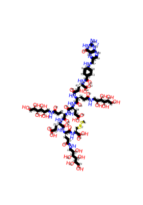 CSSC[C@H](NC(=O)[C@H](CCC(=O)NC[C@H](O)[C@@H](O)[C@H](O)[C@H](O)CO)NC(=O)[C@H](CCC(=O)O)NC(=O)[C@H](CCC(=O)NC[C@H](O)[C@@H](O)[C@H](O)[C@H](O)CO)NC(=O)[C@H](CCC(=O)O)NC(=O)[C@H](CCC(=O)NC[C@H](O)[C@@H](O)[C@H](O)[C@H](O)CO)NC(=O)CC[C@H](NC(=O)c1ccc(NCc2cnc3nc(N)[nH]c(=O)c3n2)cc1)C(=O)O)C(=O)O